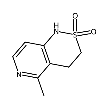 Cc1nccc2c1CCS(=O)(=O)N2